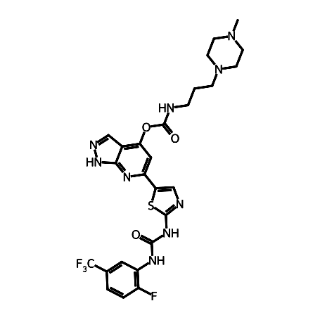 CN1CCN(CCCNC(=O)Oc2cc(-c3cnc(NC(=O)Nc4cc(C(F)(F)F)ccc4F)s3)nc3[nH]ncc23)CC1